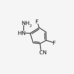 N#Cc1cc(NN)c(F)cc1F